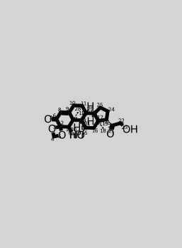 CCCC1C2(OCO2)C(=O)C=C2CC[C@@H]3[C@H]([C@@H](O)C[C@]4(C)[C@@H](C(=O)CO)CC[C@@H]34)[C@]21C